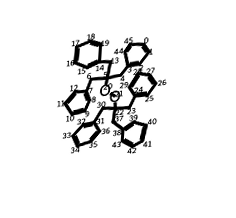 c1ccc(CC(Cc2ccccc2)(Cc2ccccc2)OOC(Cc2ccccc2)(Cc2ccccc2)Cc2ccccc2)cc1